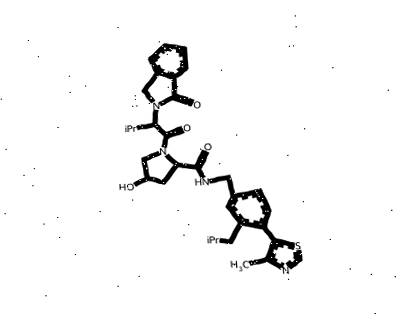 Cc1ncsc1-c1ccc(CNC(=O)C2CC(O)CN2C(=O)C(C(C)C)N2Cc3ccccc3C2=O)cc1CC(C)C